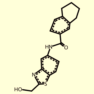 O=C(Nc1ccc2sc(CO)nc2c1)c1ccc2c(c1)CCCC2